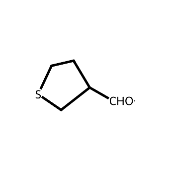 O=[C]C1CCSC1